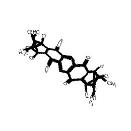 COC1(CO)C2(Cl)C(Cl)=C(Cl)C1(Cl)C1C(=O)c3cc4c(cc3C(=O)C12)C(=O)C1C(C4=O)C2(Cl)C(Cl)=C(Cl)C1(Cl)C2(CO)OC